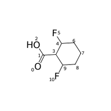 O=C(O)C1C(F)CCCC1F